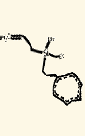 C=CC[Si](Br)(CC)Cc1ccccc1